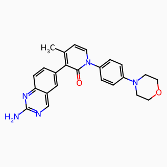 Cc1ccn(-c2ccc(N3CCOCC3)cc2)c(=O)c1-c1ccc2nc(N)ncc2c1